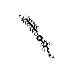 CC[C@H](C)CCCc1c(Cl)nc(-c2ccc(OCC(F)(F)C(F)(F)C(F)(F)C(F)(F)C(F)(F)C(F)(F)C(F)(F)F)cc2)nc1Cl